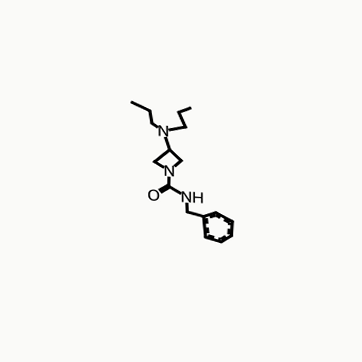 CCCN(CCC)C1CN(C(=O)NCc2ccccc2)C1